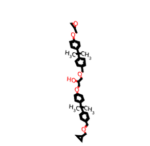 CC(C)(c1ccc(COCC2CC2)cc1)c1ccc(OCC(O)COCc2ccc(C(C)(C)c3ccc(OCC4CO4)cc3)cc2)cc1